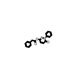 O=C(Cc1ccccc1)Oc1ccc(=O)n(-c2ccccc2)n1